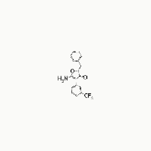 NC1=C(c2cccc(C(F)(F)F)c2)C(=O)C(Cc2ccccc2)O1